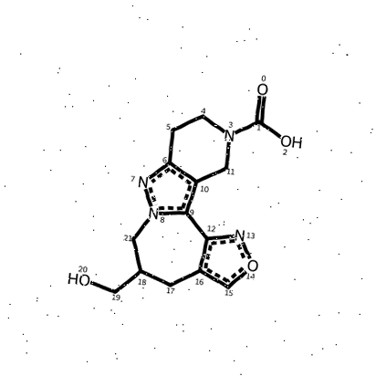 O=C(O)N1CCc2nn3c(c2C1)-c1nocc1CC(CO)C3